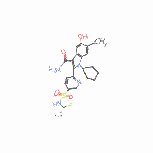 Cc1cc2c(cc1O)c(C(N)=O)c(-c1ccc(S(=O)(=O)N[C@@H](C)F)cn1)n2C1CCCC1